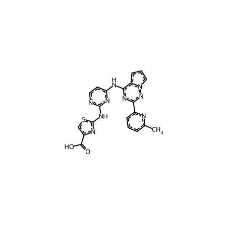 Cc1cccc(-c2nc(Nc3ccnc(Nc4nc(C(=O)O)cs4)n3)c3cccn3n2)n1